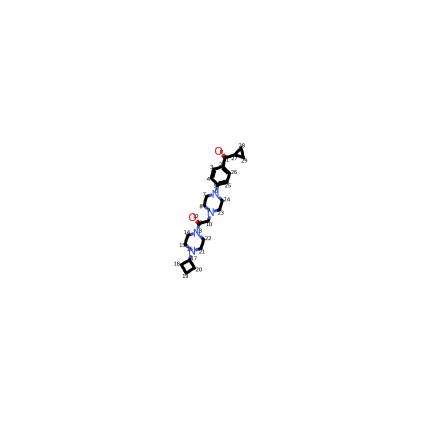 O=C(c1ccc(N2CCN(CC(=O)N3CCN(C4CCC4)CC3)CC2)cc1)C1CC1